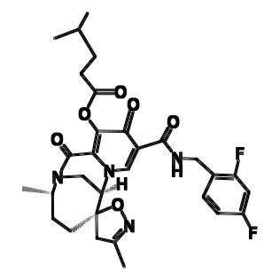 CC1=NO[C@@]2(CC[C@H](C)N3C[C@H]2n2cc(C(=O)NCc4ccc(F)cc4F)c(=O)c(OC(=O)CCC(C)C)c2C3=O)C1